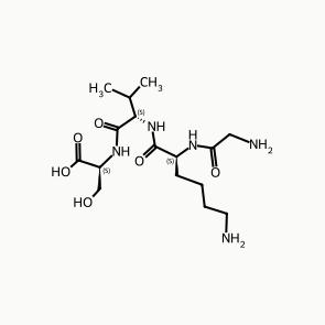 CC(C)[C@H](NC(=O)[C@H](CCCCN)NC(=O)CN)C(=O)N[C@@H](CO)C(=O)O